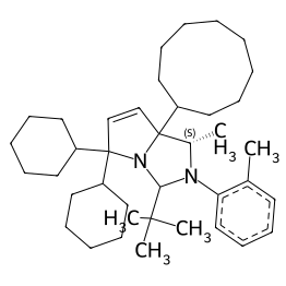 Cc1ccccc1N1C(C(C)(C)C)N2C(C3CCCCC3)(C3CCCCC3)C=CC2(C2CCCCCCCC2)[C@@H]1C